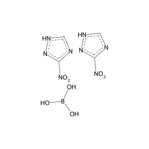 O=[N+]([O-])c1nc[nH]n1.O=[N+]([O-])c1nc[nH]n1.OB(O)O